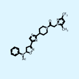 CC(=O)N(c1ccccc1)[C@H]1CC(c2csc(C3CCN(C(=O)Cn4nc(C(F)(F)F)cc4C)CC3)n2)=NO1